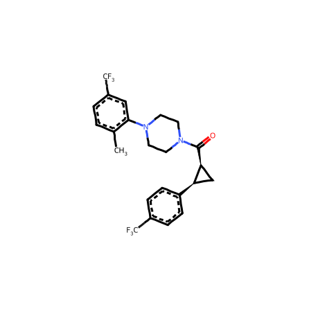 Cc1ccc(C(F)(F)F)cc1N1CCN(C(=O)[C@H]2C[C@H]2c2ccc(C(F)(F)F)cc2)CC1